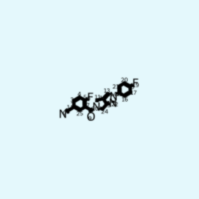 N#Cc1ccc(F)c(C(=O)N2Cc3cn(-c4ccc(F)cc4)nc3C2)c1